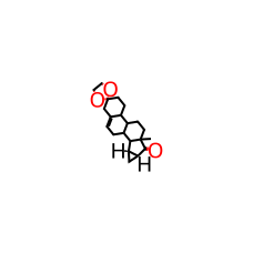 CC12CCC3C4CCC5(CC4=CCC3C1[C@H]1C[C@H]1C2=O)OCCO5